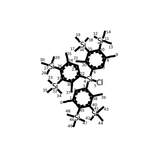 Cc1cc([Si](Cl)(c2cc(C)c([Si](C)(C)C)c([Si](C)(C)C)c2C)c2cc(C)c([Si](C)(C)C)c([Si](C)(C)C)c2C)c(C)c([Si](C)(C)C)c1[Si](C)(C)C